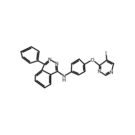 Ic1cncnc1Oc1ccc(Nc2nnc(-c3ccccc3)c3ccccc23)cc1